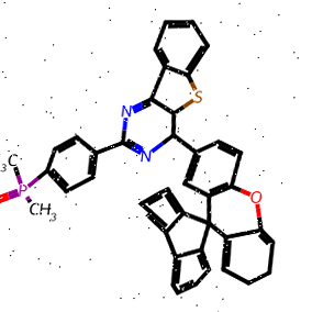 CP(C)(=O)c1ccc(C2=NC(c3ccc4c(c3)C3(C5=CCCC=C5O4)c4ccccc4-c4ccccc43)C3Sc4ccccc4C3=N2)cc1